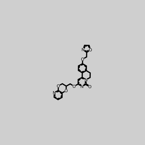 O=c1nc(OCC2COc3ncccc3O2)cc2n1CCc1cc(OCc3ncco3)ccc1-2